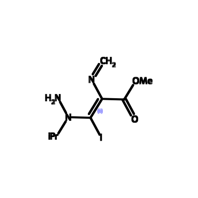 C=N/C(C(=O)OC)=C(/I)N(N)C(C)C